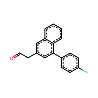 O=CCc1cc(-c2ccc(F)cc2)c2ccccc2c1